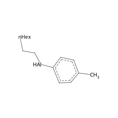 CCCCCCC[CH2][AlH][c]1ccc(C)cc1